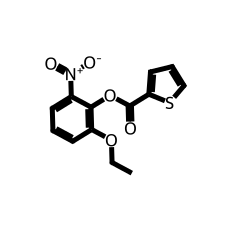 CCOc1cccc([N+](=O)[O-])c1OC(=O)c1cccs1